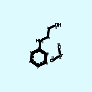 OCCNc1ccccc1.[Cl][Zr][Cl]